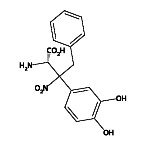 N[C@H](C(=O)O)C(Cc1ccccc1)(c1ccc(O)c(O)c1)[N+](=O)[O-]